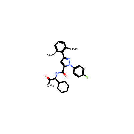 COC(=O)C(NC(=O)c1cc(-c2c(OC)cccc2OC)nn1-c1ccc(F)cc1)C1CCCCC1